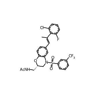 CC(=O)NC[C@H]1CN(S(=O)(=O)c2cccc(C(F)(F)F)c2)c2cc(/C=C(\C)c3c(F)cccc3Cl)ccc2O1